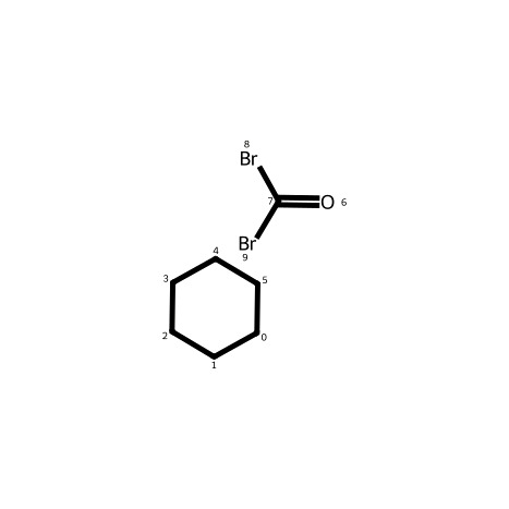 C1CCCCC1.O=C(Br)Br